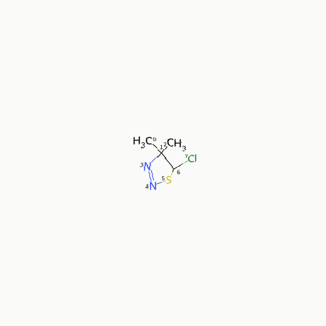 CC1(C)N=NSC1Cl